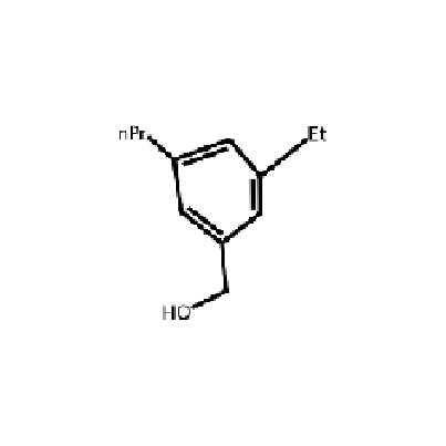 CCCc1cc(CC)cc(CO)c1